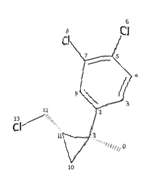 C[C@]1(c2ccc(Cl)c(Cl)c2)C[C@@H]1CCl